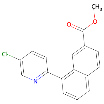 COC(=O)c1ccc2cccc(-c3ccc(Cl)cn3)c2c1